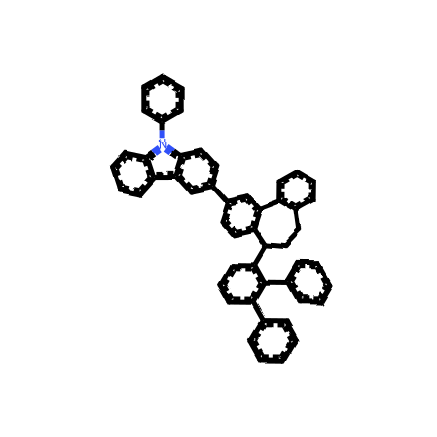 c1ccc(-c2cccc(C3CCc4ccccc4-c4cc(-c5ccc6c(c5)c5ccccc5n6-c5ccccc5)ccc43)c2-c2ccccc2)cc1